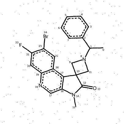 CC(c1ccccc1)N1CC2(C1)C(=O)N(C)c1cnc3cc(F)c(Br)cc3c12